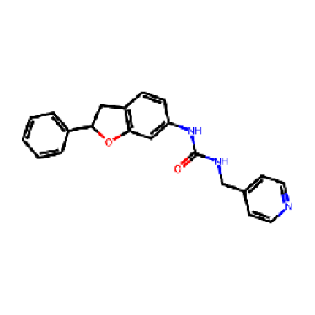 O=C(NCc1ccncc1)Nc1ccc2c(c1)OC(c1ccccc1)C2